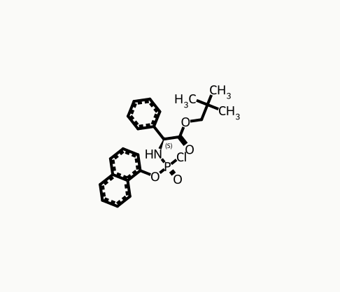 CC(C)(C)COC(=O)[C@@H](NP(=O)(Cl)Oc1cccc2ccccc12)c1ccccc1